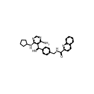 N=C(c1ccc(CNC(=O)c2ccc3ccccc3n2)cc1)c1c(N)ncnc1NC1CCCC1